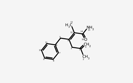 C=C(C)C/C(Cc1ccccc1)=C(/C)C(N)=O